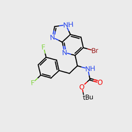 CC(C)(C)OC(=O)NC(Cc1cc(F)cc(F)c1)c1nc2nc[nH]c2cc1Br